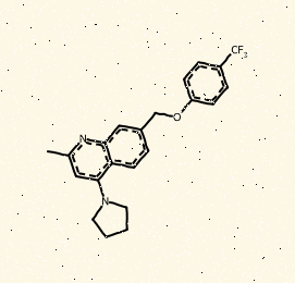 Cc1cc(N2CCCC2)c2ccc(COc3ccc(C(F)(F)F)cc3)cc2n1